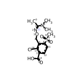 C/C(=N/OCc1c(S(C)(=O)=O)ccc(C(=O)O)c1Cl)N(C)C